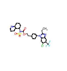 CCc1nc2cc(C(F)(F)F)c(Cl)cc2n1-c1ccc(CCOC(=O)N(c2cccc3ncccc23)[SH](=O)=O)cc1